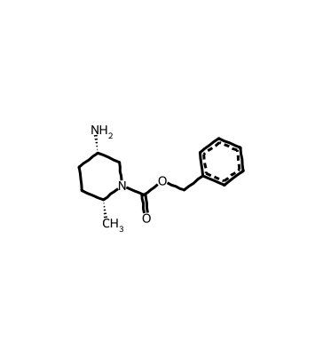 C[C@@H]1CC[C@H](N)CN1C(=O)OCc1ccccc1